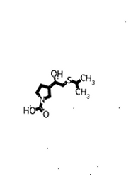 CC(C)SC[C@H](O)C1CCN(C(=O)O)C1